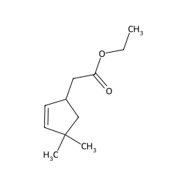 CCOC(=O)CC1C=CC(C)(C)C1